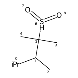 CC(C)C(C)C(C)(C)[SH](=O)=O